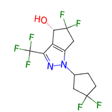 O[C@H]1c2c(C(F)(F)F)nn(C3CCC(F)(F)C3)c2CC1(F)F